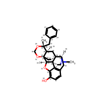 CN1CC[C@]23c4c5ccc(O)c4O[C@H]2[C@@]24CC[C@]3(C[C@@H]2[C@@](C)(Cc2ccccc2)OCO4)[C@H]1C5